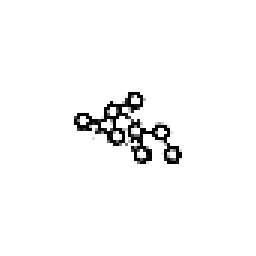 c1ccc(-c2cccc(-c3nc(-n4c5ccccc5c5ccc6c7c8ccccc8sc7c7ccccc7c6c54)cc4sc5ccccc5c34)c2)cc1